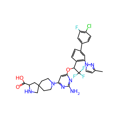 Cc1ccn(-c2cc(-c3ccc(Cl)c(F)c3)ccc2C(Oc2cc(N3CCC4(CC3)CNC(C(=O)O)C4)nc(N)n2)C(F)(F)F)n1